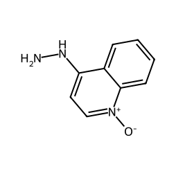 NNc1cc[n+]([O-])c2ccccc12